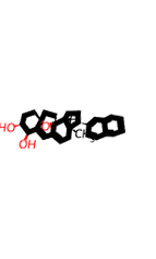 C[C@]12CC=C3C=C4[C@@H](O)[C@H](O)CC[C@]45CC[C@]3(O5)[C@@H]1CC[C@@H]2c1ccc2ccccc2c1